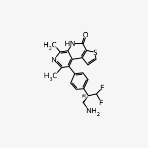 Cc1nc(C)c2[nH]c(=O)c3sccc3c2c1-c1ccc([C@H](CN)C(F)F)cc1